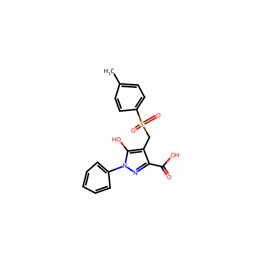 Cc1ccc(S(=O)(=O)Cc2c(C(=O)O)nn(-c3ccccc3)c2O)cc1